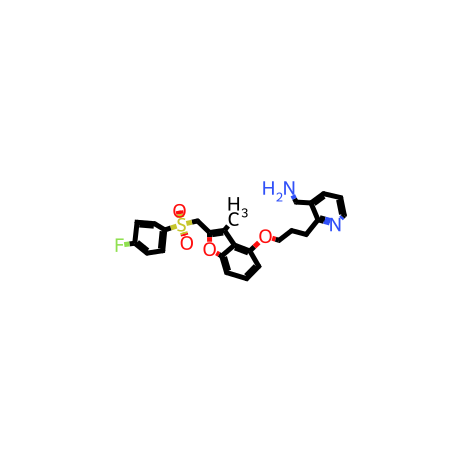 Cc1c(CS(=O)(=O)c2ccc(F)cc2)oc2cccc(OCCCc3ncccc3CN)c12